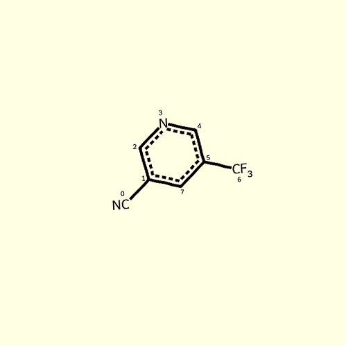 N#Cc1cncc(C(F)(F)F)c1